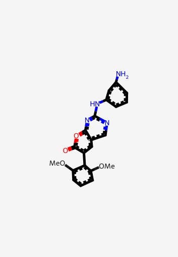 COc1cccc(OC)c1-c1cc2cnc(Nc3cccc(N)c3)nc2oc1=O